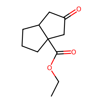 CCOC(=O)C12CCCC1CC(=O)C2